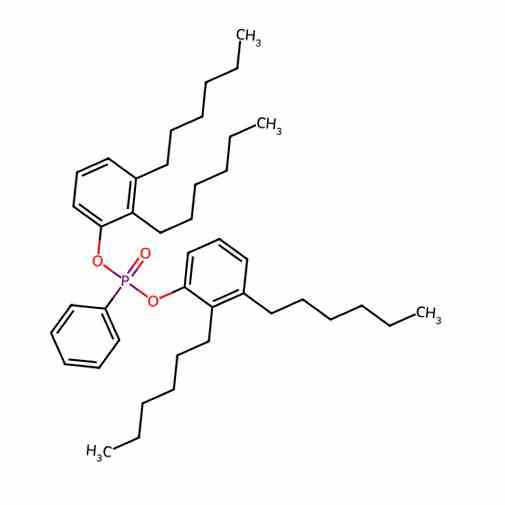 CCCCCCc1cccc(OP(=O)(Oc2cccc(CCCCCC)c2CCCCCC)c2ccccc2)c1CCCCCC